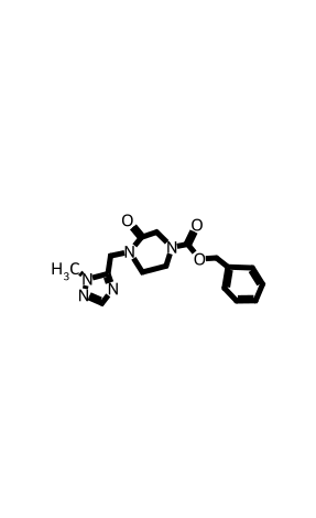 Cn1ncnc1CN1CCN(C(=O)OCc2ccccc2)CC1=O